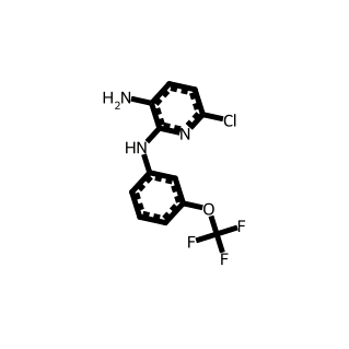 Nc1ccc(Cl)nc1Nc1cccc(OC(F)(F)F)c1